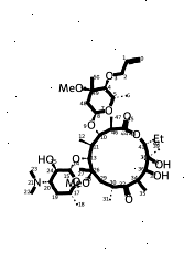 C=CCO[C@H]1[C@H](C)O[C@@H](O[C@H]2[C@H](C)[C@@H](O[C@@H]3O[C@H](C)C[C@H](N(C)C)[C@H]3O)[C@](C)(OC)C[C@@H](C)C(=O)C(C)C(O)[C@](C)(O)[C@@H](CC)OC(=O)[C@@H]2C)C[C@@]1(C)OC